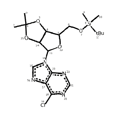 CC1(C)OC2C(CO[Si](C)(C)C(C)(C)C)OC(n3cnc4c(Cl)ncnc43)C2O1